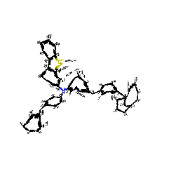 Cc1cc(-c2ccc(C34CCCCC(CCC3)C4)cc2)ccc1N(c1ccc(-c2ccccc2)cc1)c1ccc2c(c1)sc1ccccc12